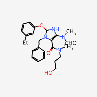 CCc1cccc(OC2NC(N(C)C=O)=C(C(=O)N(C)CCCO)N2Cc2ccccc2)c1